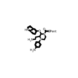 CCCCCC(=O)N1CCN(c2ccc(N)cc2)C(CCN)C1Oc1ccc2[nH]ccc2c1.Cl